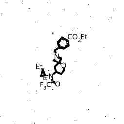 CCOC(=O)c1ccc(CN2CC3(CC(N(C(=O)C(F)(F)F)[C@@H]4C[C@H]4CC)CCO3)C2)cc1